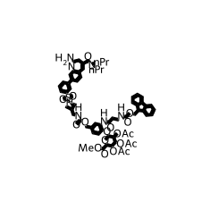 CCCN(CCC)C(=O)C1=Cc2ccc(-c3cccc(S(=O)(=O)N4CC(CNC(=O)OCc5ccc(OC6OC(C(=O)OC)C(OC(C)=O)C(OC(C)=O)C6OC(C)=O)c(NC(=O)CCNC(=O)OCC6c7ccccc7-c7ccccc76)c5)C4)c3)cc2N=C(N)C1